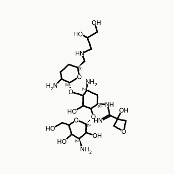 N=C(N[C@@H]1C[C@H](N)C(O[C@H]2O[C@H](CNCC(O)CO)CCC2N)C(O)C1O[C@H]1OC(CO)C(O)[C@H](N)C1O)C1(O)COC1